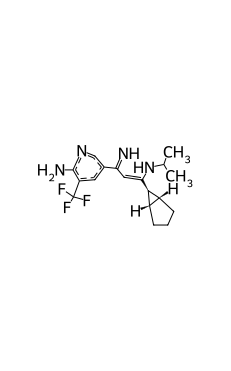 CC(C)N/C(=C\C(=N)c1cnc(N)c(C(F)(F)F)c1)[C@H]1[C@@H]2CCC[C@@H]21